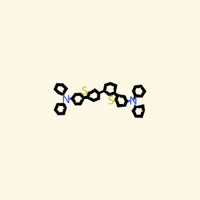 c1ccc(N(c2ccccc2)c2ccc3c(c2)sc2cc(-c4cccc5c4sc4ccc(N(c6ccccc6)c6ccccc6)cc45)ccc23)cc1